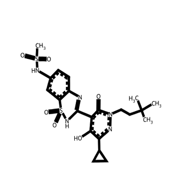 CC(C)(C)CCn1nc(C2CC2)c(O)c(C2=Nc3ccc(NS(C)(=O)=O)cc3S(=O)(=O)N2)c1=O